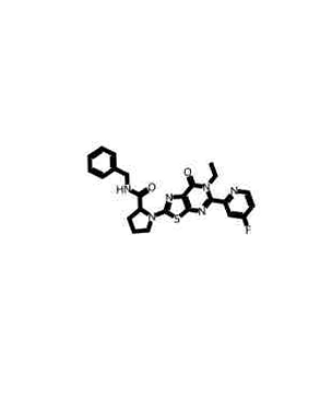 CCn1c(-c2cc(F)ccn2)nc2sc(N3CCCC3C(=O)NCc3ccccc3)nc2c1=O